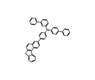 c1ccc(-c2ccc(N(c3ccc(-c4ccc5c(ccc6sc7ccccc7c65)c4)cc3)c3cccc(-c4ccccc4)c3)cc2)cc1